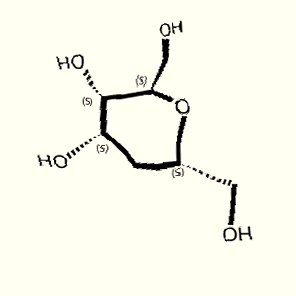 OC[C@@H]1C[C@H](O)[C@H](O)[C@@H](O)O1